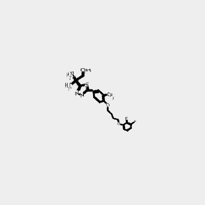 CC(N)(CO)c1nnc(-c2ccc(OCCCCOc3cccc(F)c3F)c(C(F)(F)F)c2)s1